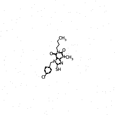 CCCCn1c(=O)c2c(nc(S)n2Cc2ccc(Cl)cc2)n(C)c1=O